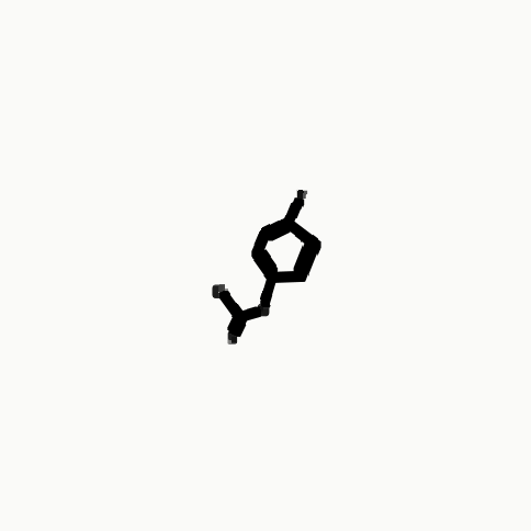 Fc1ccc(OC(=S)Cl)cc1